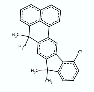 CC1(C)c2cc3c(cc2-c2c(Cl)cccc21)-c1cccc2cccc(c12)C3(C)C